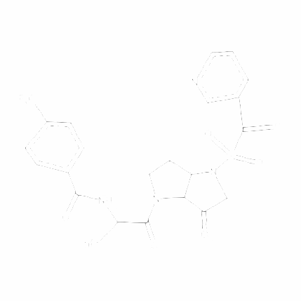 CCCC(NC(=O)c1ccc(C(F)(F)F)cc1)C(=O)N1CCC2C1C(=O)CN2S(=O)(=O)C(=O)c1cccnc1